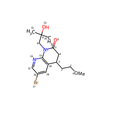 COCCC1CC(=O)N(CC(C)(C)O)c2ncc(Br)cc21